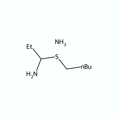 CCCCCSC(N)CC.N